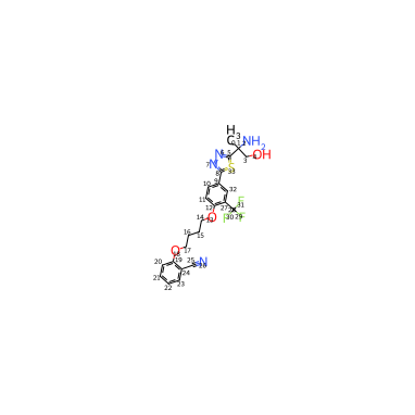 CC(N)(CO)c1nnc(-c2ccc(OCCCCOc3ccccc3C#N)c(C(F)(F)F)c2)s1